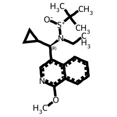 CCN([C@@H](c1cnc(OC)c2ccccc12)C1CC1)[S+]([O-])C(C)(C)C